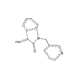 N=C1C(=O)N(Cc2cccnc2)c2ccccc21